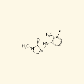 CN1CC[C@@H](CNc2cccc(F)c2C(F)(F)F)C1=O